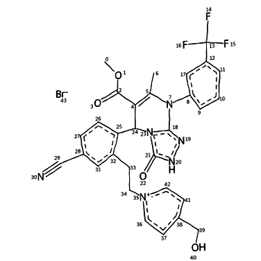 COC(=O)C1=C(C)N(c2cccc(C(F)(F)F)c2)c2n[nH]c(=O)n2C1c1ccc(C#N)cc1CC[n+]1ccc(CO)cc1.[Br-]